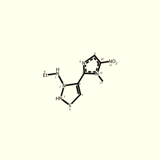 CCNN1NSC=C1c1ncc([N+](=O)[O-])n1C